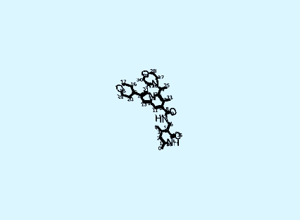 CC1=CC(C)C(CNC(=O)c2cc3cc(C4CCOCC4)cn3c(C(C)N3CCOCC3)c2C)C(=O)N1